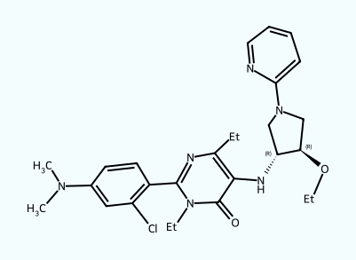 CCO[C@@H]1CN(c2ccccn2)C[C@H]1Nc1c(CC)nc(-c2ccc(N(C)C)cc2Cl)n(CC)c1=O